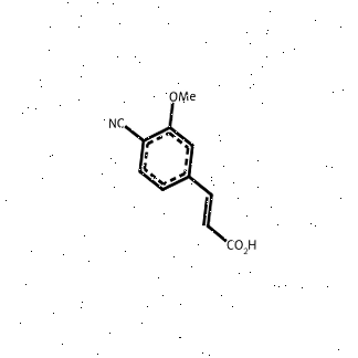 COc1cc(/C=C/C(=O)O)ccc1C#N